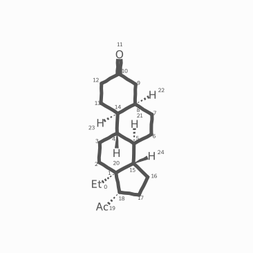 CC[C@]12CC[C@H]3[C@@H](CC[C@@H]4CC(=O)CC[C@@H]43)[C@@H]1CC[C@@H]2C(C)=O